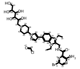 CCn1c(CNC(=O)c2nc(Br)cnc2N)[n+](CC)c2ccc(-c3cnn(C4CCN(CC(O)C(O)C(O)C(O)CO)CC4)c3)cc21.O=CCl